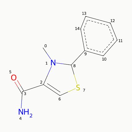 CN1C(C(N)=O)=CSC1c1ccccc1